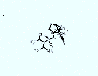 CC(C)N(C(C)C)S(=O)(=O)CC12CCC(C=C1C#N)C2(C)C